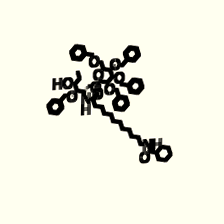 CC[C@@H](O)[C@@H](OCc1ccccc1)[C@H](CO[C@H]1OC(COCc2ccccc2)[C@H](OCc2ccccc2)C(OCc2ccccc2)C1OCc1ccccc1)NC(=O)CCCCCCCCCCCNC(=O)C1CCCCC1